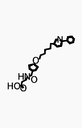 O=C(O)CCNC(=O)c1ccc(OCCCCCCc2ccc(-c3ccccc3)nc2)cc1